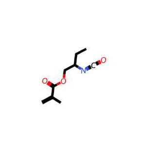 C=C(C)C(=O)OCC(CC)N=C=O